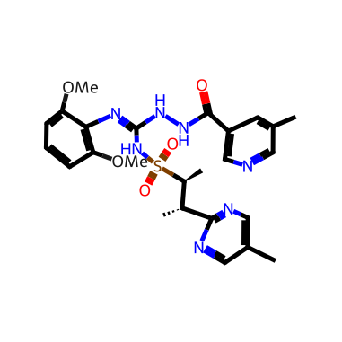 COc1cccc(OC)c1/N=C(/NNC(=O)c1cncc(C)c1)NS(=O)(=O)[C@@H](C)[C@@H](C)c1ncc(C)cn1